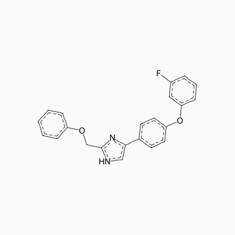 Fc1cccc(Oc2ccc(-c3c[nH]c(COc4ccccc4)n3)cc2)c1